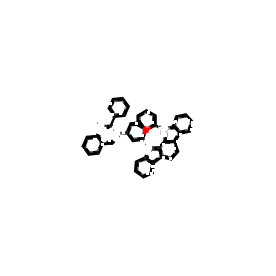 O=c1c2ccccc2nc(-c2ccccc2)n1-c1cccc(-n2c3ccccc3c3ccc4c5ccccc5n(-c5ccccc5)c4c32)c1